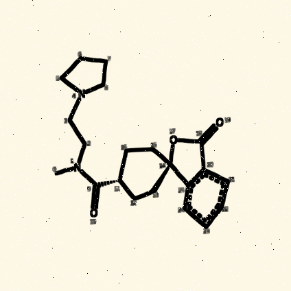 CN(CCN1CCCC1)C(=O)[C@H]1CC[C@@]2(CC1)OC(=O)c1ccccc12